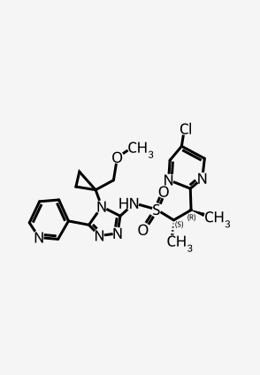 COCC1(n2c(NS(=O)(=O)[C@@H](C)[C@H](C)c3ncc(Cl)cn3)nnc2-c2cccnc2)CC1